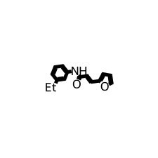 CCc1cccc(NC(=O)/C=C/c2ccco2)c1